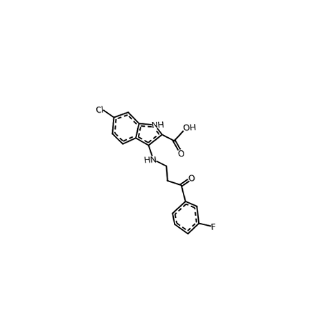 O=C(CCNc1c(C(=O)O)[nH]c2cc(Cl)ccc12)c1cccc(F)c1